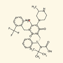 Cc1c(N2CCNC(C)C2)c(=O)n(C[C@@H](c2ccccc2)N(C(=O)O)C(C)(C)C)c(=O)n1Cc1c(F)cccc1C(F)(F)F